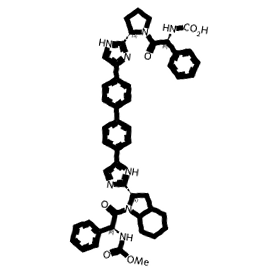 COC(=O)N[C@@H](C(=O)N1C2CCCCC2C[C@H]1c1ncc(-c2ccc(-c3ccc(-c4c[nH]c([C@@H]5CCCN5C(=O)[C@H](NC(=O)O)c5ccccc5)n4)cc3)cc2)[nH]1)c1ccccc1